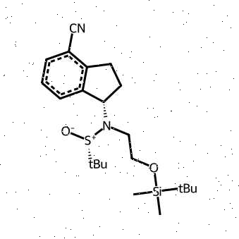 CC(C)(C)[S@+]([O-])N(CCO[Si](C)(C)C(C)(C)C)[C@H]1CCc2c(C#N)cccc21